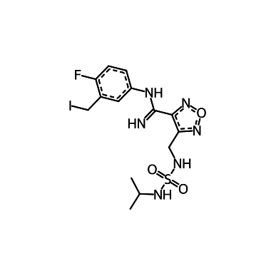 CC(C)NS(=O)(=O)NCc1nonc1C(=N)Nc1ccc(F)c(CI)c1